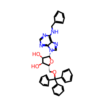 O[C@@H]1[C@H](O)[C@@H](COC(c2ccccc2)(c2ccccc2)c2ccccc2)O[C@H]1n1cnc2c(NCc3ccccc3)ncnc21